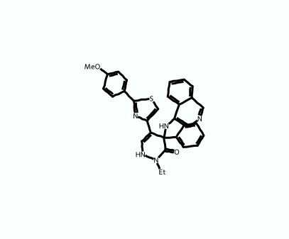 CCN1NC=C(c2csc(-c3ccc(OC)cc3)n2)C(Nc2cncc3ccccc23)(c2ccccc2)C1=O